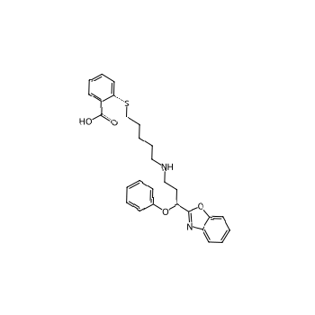 O=C(O)c1ccccc1SCCCCCNCCC(Oc1ccccc1)c1nc2ccccc2o1